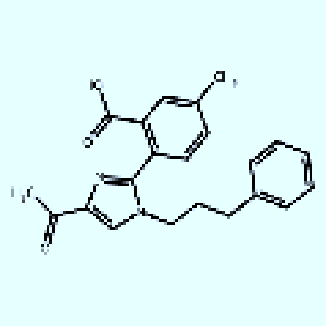 CC(=O)c1cn(CCCc2ccccc2)c(-c2ccc(C)cc2C(=O)O)n1